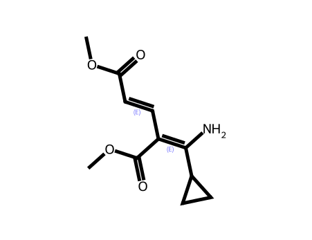 COC(=O)/C=C/C(C(=O)OC)=C(\N)C1CC1